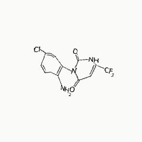 Nc1ccc(Cl)cc1-n1c(=O)cc(C(F)(F)F)[nH]c1=O